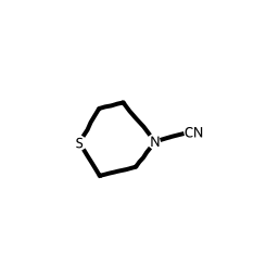 N#CN1CCSCC1